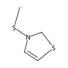 [CH2]SN1C=CSC1